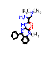 CN(C)CC(N)C(=O)NC1N=C(c2ccccc2)c2ccccc2N(C)C1=O